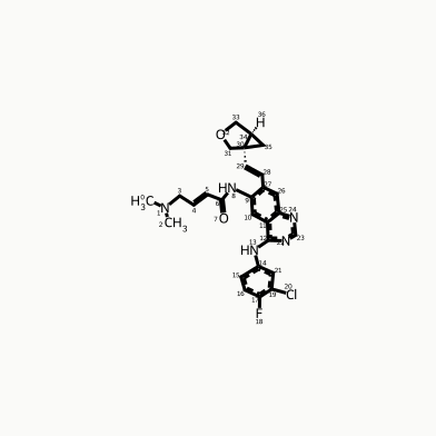 CN(C)C/C=C/C(=O)Nc1cc2c(Nc3ccc(F)c(Cl)c3)ncnc2cc1/C=C/[C@]12COC[C@H]1C2